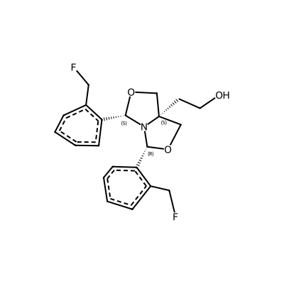 OCC[C@]12CO[C@H](c3ccccc3CF)N1[C@H](c1ccccc1CF)OC2